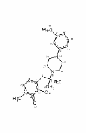 CCC(N)(Cc1cnn(C)c(=O)c1Cl)N1CCN(c2cccc(OC)c2)CC1